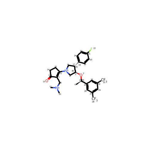 C[C@@H](O[C@H]1CN(C2=C(CN(C)C)C(=O)CC2)C[C@@H]1c1ccc(F)cc1)c1cc(C(F)(F)F)cc(C(F)(F)F)c1